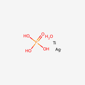 O.O=P(O)(O)O.[Ag].[Ti]